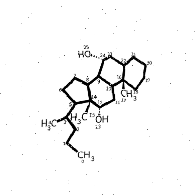 CCCC(C)C1CCC2C3C(C[C@H](O)[C@]12C)[C@@]1(C)CCCCC1C[C@H]3O